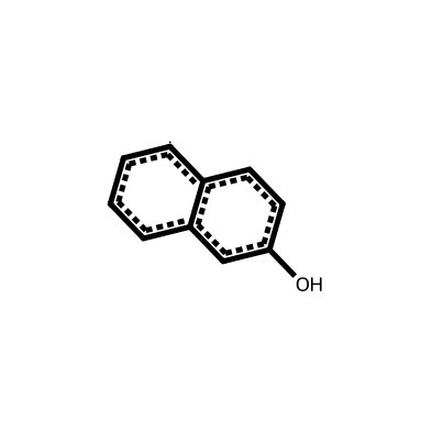 Oc1ccc2[c]cccc2c1